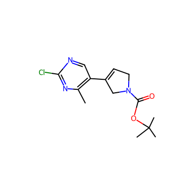 Cc1nc(Cl)ncc1C1=CCN(C(=O)OC(C)(C)C)C1